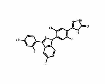 O=c1[nH]nc(-c2cc(Cl)c(-n3nc(-c4ccc(Cl)cc4F)c4cc(Cl)ccc43)cc2F)[nH]1